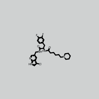 O=C(CCCCCN1CCCCC1)NC(Cc1ccc(F)c(F)c1)C(=O)NCc1cnc2[nH]cc(Cl)c2c1